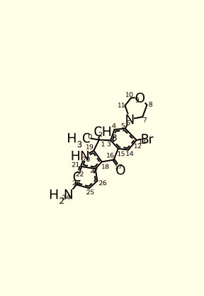 CC1(C)c2cc(N3CCOCC3)c(Br)cc2C(=O)c2c1[nH]c1cc(N)ccc21